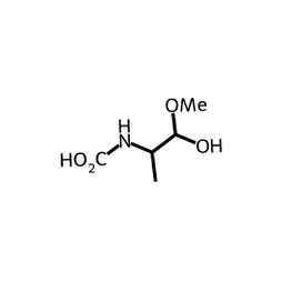 COC(O)C(C)NC(=O)O